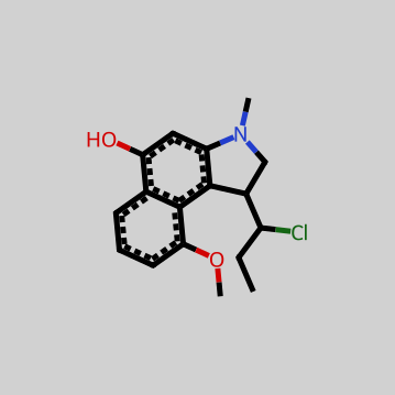 CCC(Cl)C1CN(C)c2cc(O)c3cccc(OC)c3c21